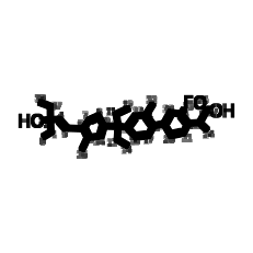 CCC(O)(C=Cc1ccc(C(CC)(CC)c2ccc(-c3ccc(C(C)C(=O)O)c(F)c3)c(C)c2)cc1C)CC